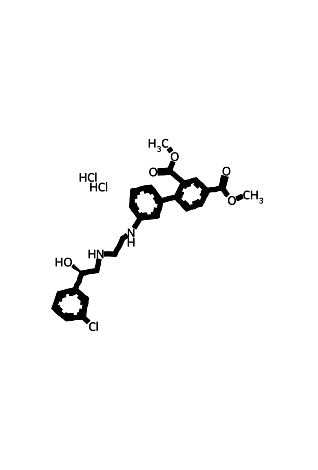 COC(=O)c1ccc(-c2cccc(NCCNC[C@H](O)c3cccc(Cl)c3)c2)c(C(=O)OC)c1.Cl.Cl